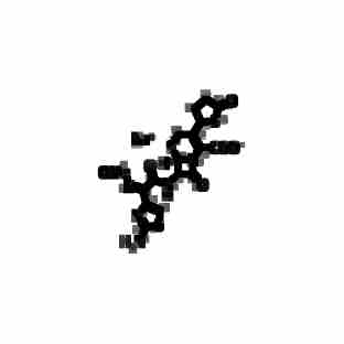 CO/N=C(\C(=O)N[C@@H]1C(=O)N2C(C(=O)[O-])=C(C3CCC(=O)S3)CS[C@H]12)c1csc(N)n1.[Na+]